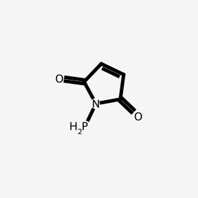 O=C1C=CC(=O)N1P